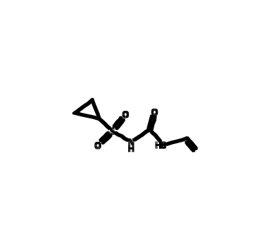 C=CBC(=O)NS(=O)(=O)C1CC1